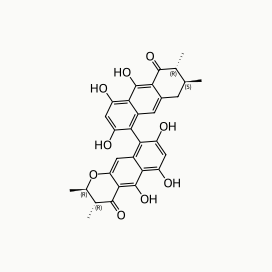 C[C@H]1Cc2cc3c(-c4c(O)cc(O)c5c(O)c6c(cc45)O[C@H](C)[C@@H](C)C6=O)c(O)cc(O)c3c(O)c2C(=O)[C@@H]1C